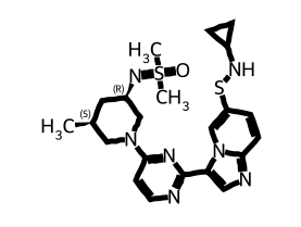 C[C@H]1C[C@@H](N=S(C)(C)=O)CN(c2ccnc(-c3cnc4ccc(SNC5CC5)cn34)n2)C1